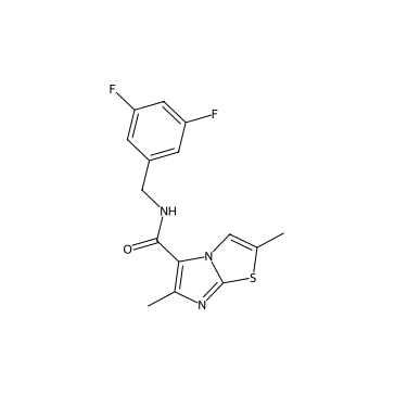 Cc1cn2c(C(=O)NCc3cc(F)cc(F)c3)c(C)nc2s1